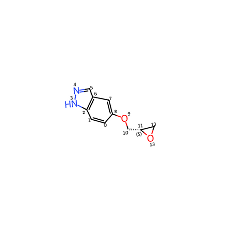 c1cc2[nH]ncc2cc1OC[C@@H]1CO1